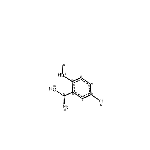 CBc1ccc(Cl)cc1[C@H](O)CC